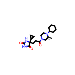 C[C@H]1CN(C(=O)CCC2(C3CC3)NC(=O)NC2=O)CCN1C1CCCCC1